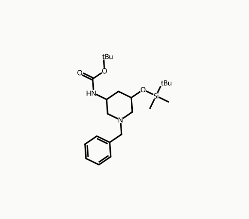 CC(C)(C)OC(=O)NC1CC(O[Si](C)(C)C(C)(C)C)CN(Cc2ccccc2)C1